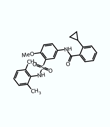 COc1ccc(NC(=O)c2ccccc2C2CC2)cc1S(=O)(=O)Nc1c(C)cccc1C